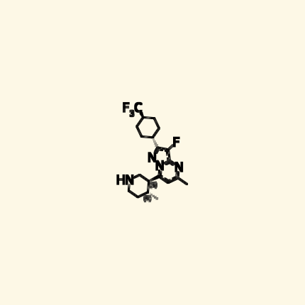 Cc1cc([C@@H]2CNCC[C@H]2C)n2nc([C@H]3CC[C@H](C(F)(F)F)CC3)c(F)c2n1